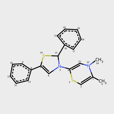 CC1=CSC(N2C=C(c3ccccc3)S[C]2c2ccccc2)=CN1C